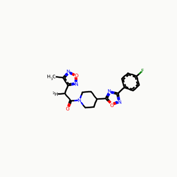 [2H]C(C(=O)N1CCC(c2nc(-c3ccc(F)cc3)no2)CC1)c1nonc1C